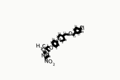 CC1(COc2ccc(N3CCC(CCOCc4ccc(Cl)cc4)CC3)cc2)Cn2cc([N+](=O)[O-])nc2O1